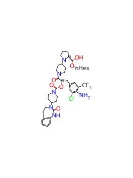 CCCCCCOC(O)[C@@H]1CCCN1C1CCN(C(=O)[C@@H](Cc2cc(Cl)c(N)c(C(F)(F)F)c2)OC(=O)N2CCC(N3CCc4ccccc4NC3=O)CC2)CC1